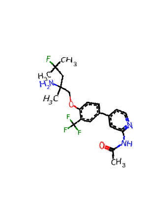 CC(=O)Nc1cc(-c2ccc(OCC(C)(N)CC(C)(C)F)c(C(F)(F)F)c2)ccn1